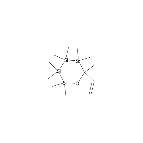 C=CC1(C)O[Si](C)(C)[Si](C)(C)[Si](C)(C)[Si]1(C)C